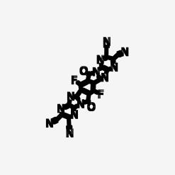 N#Cc1nc2nc3c4c(F)c5c(=O)n6c7nc(C#N)c(C#N)nc7nc6c5c(F)c4c(=O)n3c2nc1C#N